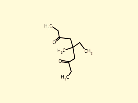 CCC(=O)CC(C)(CC)CC(=O)CC